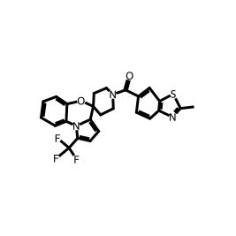 Cc1nc2ccc(C(=O)N3CCC4(CC3)Oc3ccccc3-n3c(C(F)(F)F)ccc34)cc2s1